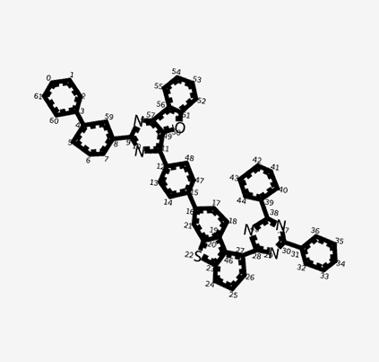 c1ccc(-c2cccc(-c3nc(-c4ccc(-c5ccc6c(c5)sc5cccc(-c7nc(-c8ccccc8)nc(-c8ccccc8)n7)c56)cc4)c4oc5ccccc5c4n3)c2)cc1